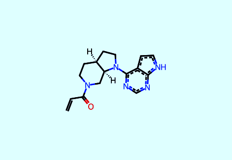 C=CC(=O)N1CC[C@H]2CCN(c3ncnc4[nH]ccc34)[C@H]2C1